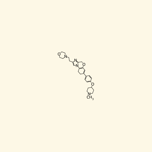 CN1CCC(Oc2ccc(C3=CC4=C(CC3)n3cc(CCN5CCOCC5)nc3CO4)cc2)CC1